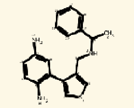 CC(NCc1cscc1-c1cc(N)ccc1N)c1ccccc1